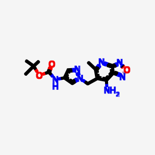 Cc1nc2nonc2c(N)c1Cn1cc(NC(=O)OC(C)(C)C)cn1